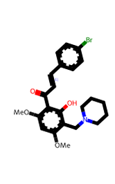 COc1cc(OC)c(C(=O)/C=C/c2ccc(Br)cc2)c(O)c1CN1CCCCC1